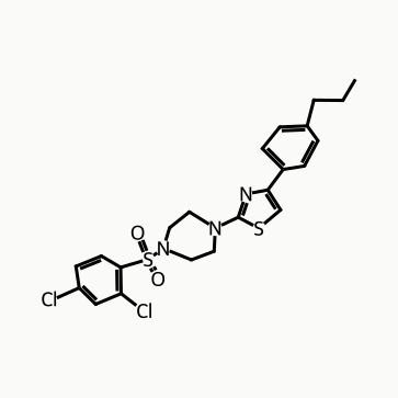 CCCc1ccc(-c2csc(N3CCN(S(=O)(=O)c4ccc(Cl)cc4Cl)CC3)n2)cc1